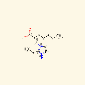 CCCCCCC(=O)[O-].CCc1[nH]cc[n+]1C